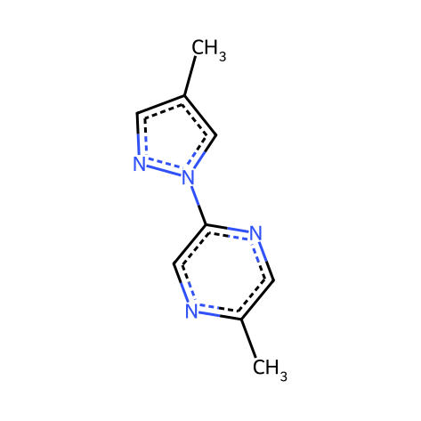 Cc1cnn(-c2cnc(C)cn2)c1